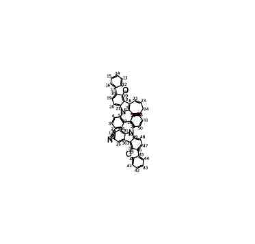 N#Cc1ccc(-n2c3c(c4c5oc6ccccc6c5ccc42)C=CCC#C3)c(C2=C(n3c4ccccc4c4c5oc6ccccc6c5ccc43)C=CCC2)c1